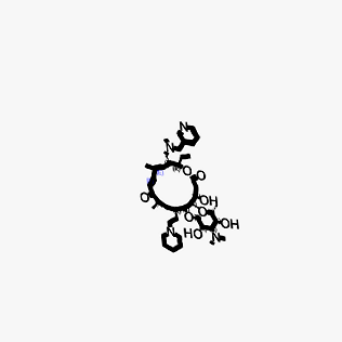 CC[C@H]1OC(=O)C[C@@H](O)[C@H](C)[C@@H](O[C@@H]2O[C@H](C)[C@@H](O)[C@H](N(C)C)[C@H]2O)[C@@H](CCN2CCCCC2)C[C@@H](C)C(=O)/C=C/C(C)=C/[C@@H]1CN(C)Cc1cccnc1